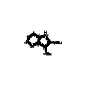 CC(C)(C)c1[nH]c2ccnnc2c1C(C)(C)C